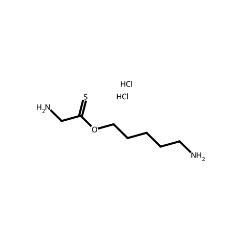 Cl.Cl.NCCCCCOC(=S)CN